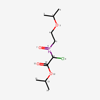 CC(C)OCC[PH](=O)C(Cl)C(=O)OC(C)C